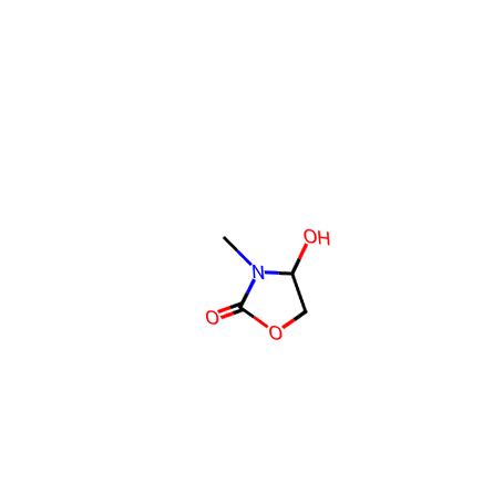 CN1C(=O)OCC1O